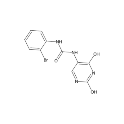 O=C(Nc1ccccc1Br)Nc1cnc(O)nc1O